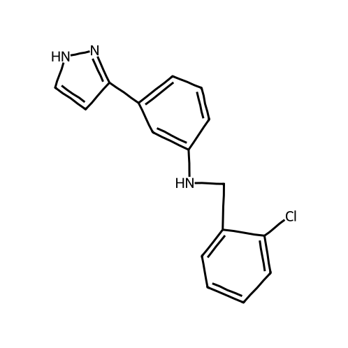 Clc1ccccc1CNc1cccc(-c2cc[nH]n2)c1